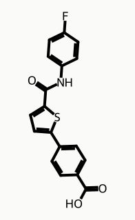 O=C(O)c1ccc(-c2ccc(C(=O)Nc3ccc(F)cc3)s2)cc1